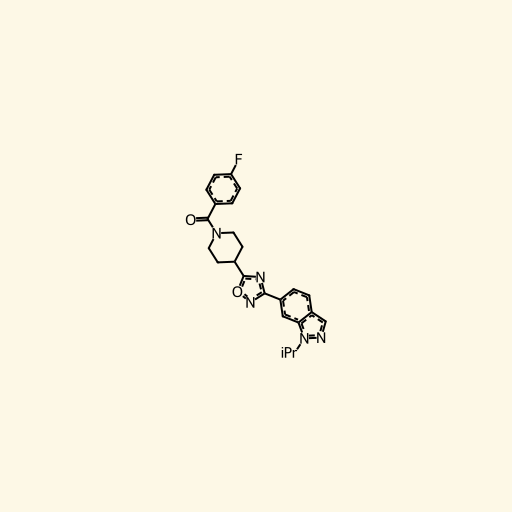 CC(C)n1ncc2ccc(-c3noc(C4CCN(C(=O)c5ccc(F)cc5)CC4)n3)cc21